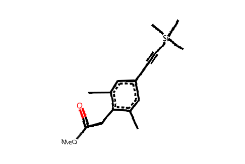 COC(=O)Cc1c(C)cc(C#C[Si](C)(C)C)cc1C